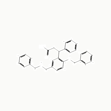 O=C(O)CC(c1ccccc1)c1cc(COCc2ccccc2)ccc1OCc1ccccc1